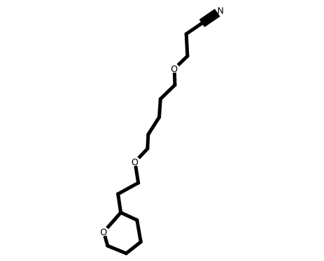 N#CCCOCCCCCOCCC1CCCCO1